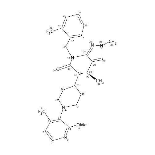 COc1nccc(C(F)(F)F)c1N1CCC(N2C(=O)N(Cc3ccccc3C(F)(F)F)c3nn(C)cc3[C@H]2C)CC1